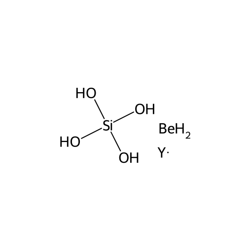 O[Si](O)(O)O.[BeH2].[Y]